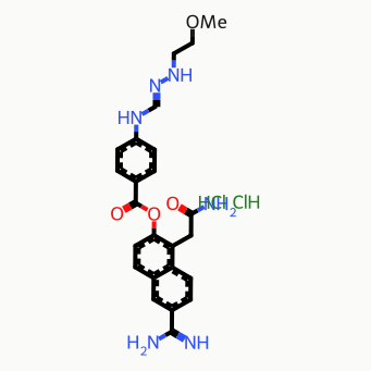 COCCN/N=C/Nc1ccc(C(=O)Oc2ccc3cc(C(=N)N)ccc3c2CC(N)=O)cc1.Cl.Cl